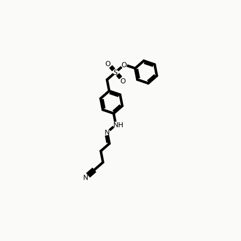 N#CCCC=NNc1ccc(CS(=O)(=O)Oc2ccccc2)cc1